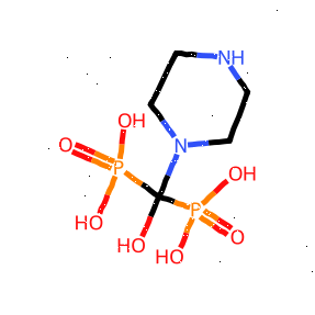 O=P(O)(O)C(O)(N1CCNCC1)P(=O)(O)O